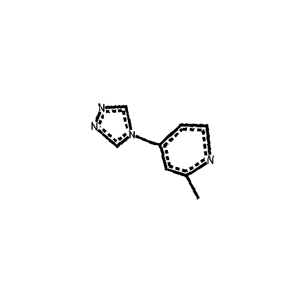 Cc1cc(-n2cnnc2)ccn1